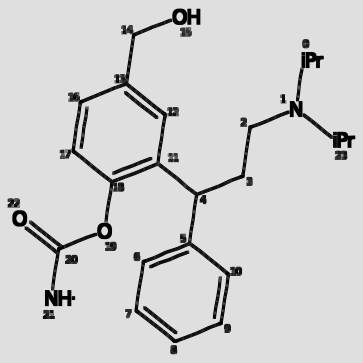 CC(C)N(CCC(c1ccccc1)c1cc(CO)ccc1OC([NH])=O)C(C)C